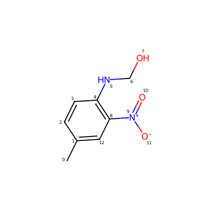 Cc1ccc(NCO)c([N+](=O)[O-])c1